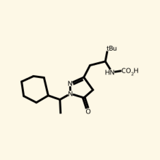 CC(C1CCCCC1)N1N=C(CC(NC(=O)O)C(C)(C)C)CC1=O